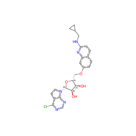 O[C@@H]1[C@H](O)[C@@H](COc2ccc3ccc(NCC4CC4)nc3c2)O[C@H]1n1ccc2c(Cl)ncnc21